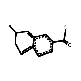 CC1C=c2cc(C(=O)Cl)ccc2=CC1